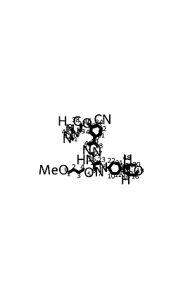 COCCCCOc1nn([C@H]2CC[C@H](N3[C@@H]4CC[C@@H]3COC4)CC2)cc1Nc1ncc(-c2ccc(C#N)c(O[C@@H](C)Cn3cncn3)c2)cn1